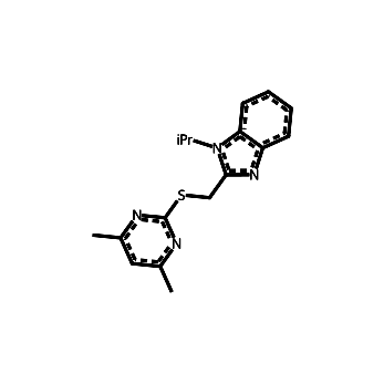 Cc1cc(C)nc(SCc2nc3ccccc3n2C(C)C)n1